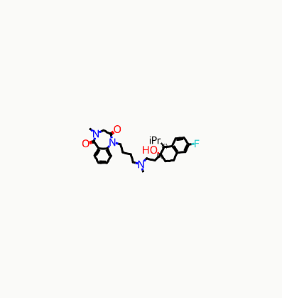 CC(C)[C@H]1c2ccc(F)cc2CC[C@]1(O)CCN(C)CCCCN1C(=O)CN(C)C(=O)c2ccccc21